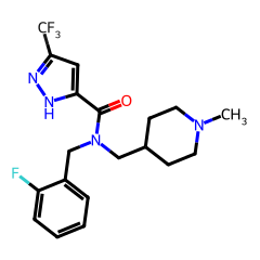 CN1CCC(CN(Cc2ccccc2F)C(=O)c2cc(C(F)(F)F)n[nH]2)CC1